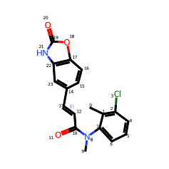 Cc1c(Cl)cccc1N(C)C(=O)/C=C/c1ccc2oc(=O)[nH]c2c1